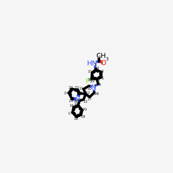 CC(=O)Nc1ccc(CN2CCC(CCc3ccccc3)(c3ccccn3)CC2)c(F)c1